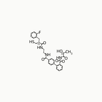 C[C@H](O)C(=O)NS(=O)(=O)c1ccccc1-c1ccc(C(=O)NCCNC(=O)[C@@H](CS)Cc2ccccc2F)cc1